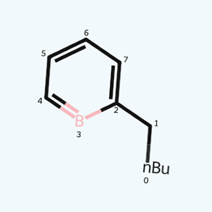 CCCCCc1bcccc1